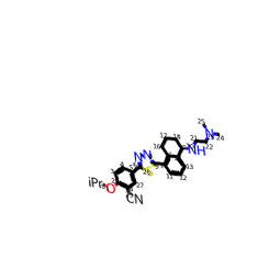 CC(C)Oc1ccc(-c2nnc(-c3cccc4c3CCC[C@H]4NCCN(C)C)s2)cc1C#N